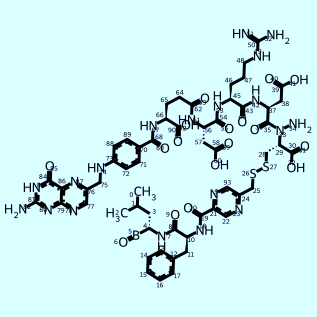 CC(C)C[C@@H](B=O)NC(=O)[C@H](Cc1ccccc1)NC(=O)c1cnc(CSSC[C@@H](C(=O)O)N(N)C(=O)[C@H](CC(=O)O)NC(=O)[C@H](CCCNC(=N)N)NC(=O)[C@H](CC(=O)O)NC(=O)CC[C@H](NC(=O)c2ccc(NCc3cnc4nc(N)[nH]c(=O)c4n3)cc2)C(=O)O)cn1